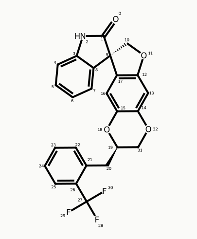 O=C1Nc2ccccc2[C@@]12COc1cc3c(cc12)O[C@H](Cc1ccccc1C(F)(F)F)CO3